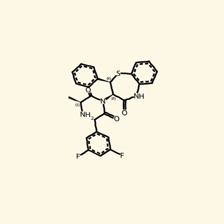 C[C@H](N)C(=O)N(C(=O)Cc1cc(F)cc(F)c1)[C@@H]1C(=O)Nc2ccccc2S[C@@H]1c1ccccc1